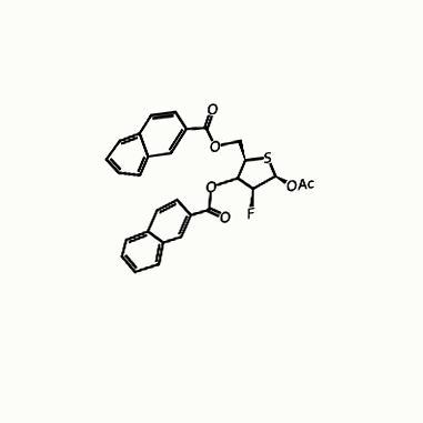 CC(=O)O[C@@H]1S[C@H](COC(=O)c2ccc3ccccc3c2)C(OC(=O)c2ccc3ccccc3c2)[C@@H]1F